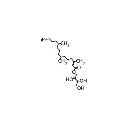 CC(=CC(=O)OC[C@H](O)[C@H](O)CO)CCCC(C)CCCC(C)CCCC(C)C